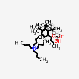 CCCC(OB([O-])O)c1ccc(C(C)(C)C)c(C(C)(C)C)c1C(C)(C)C.CCCC[N+](CCCC)(CCCC)CCCC